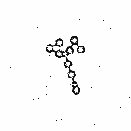 c1ccc(-c2ccccc2-c2ccc3c(c2)c2cc(-c4ccccc4-c4ccccc4)ccc2n3-c2ccc(-c3ccc(-c4nc5ccccc5o4)cc3)cc2)cc1